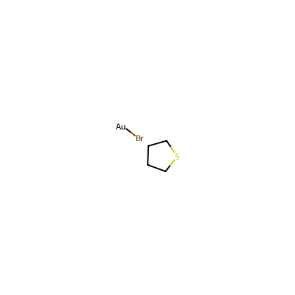 C1CCSC1.[Br][Au]